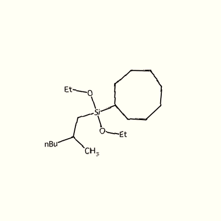 CCCCC(C)C[Si](OCC)(OCC)C1CCCCCCC1